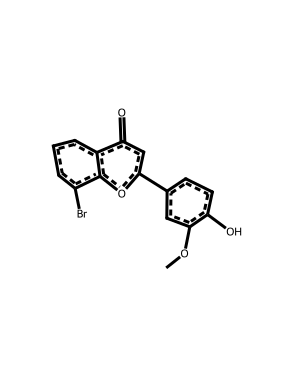 COc1cc(-c2cc(=O)c3cccc(Br)c3o2)ccc1O